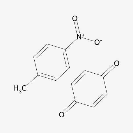 Cc1ccc([N+](=O)[O-])cc1.O=C1C=CC(=O)C=C1